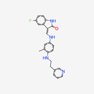 Cc1cc(NC=C2C(=O)Nc3ccc(F)cc32)ccc1NCCc1cccnc1